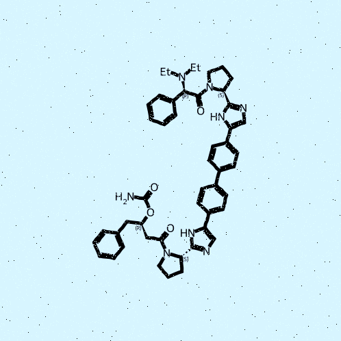 CCN(CC)[C@@H](C(=O)N1CCC[C@H]1c1ncc(-c2ccc(-c3ccc(-c4cnc([C@@H]5CCCN5C(=O)C[C@@H](Cc5ccccc5)OC(N)=O)[nH]4)cc3)cc2)[nH]1)c1ccccc1